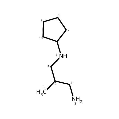 CC(CN)CNC1CCCC1